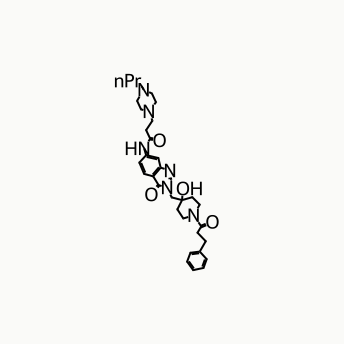 CCCN1CCN(CCC(=O)Nc2ccc3c(=O)n(CC4(O)CCN(C(=O)CCc5ccccc5)CC4)cnc3c2)CC1